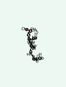 CC1(C)CCC(CN2CCN(c3ccc(C(=O)NS(=O)(=O)c4ccc(NCC5CCC(NCCOc6cccc7c6CN(C6CCC(=O)NC6=O)C7=O)CC5)c([N+](=O)[O-])c4)c(Oc4cnc5[nH]ccc5c4)c3)CC2)=C(c2ccc(Cl)cc2)C1